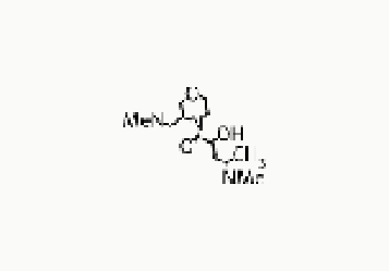 CNCC1COCCN1C(=O)/C(O)=C/C(C)NC